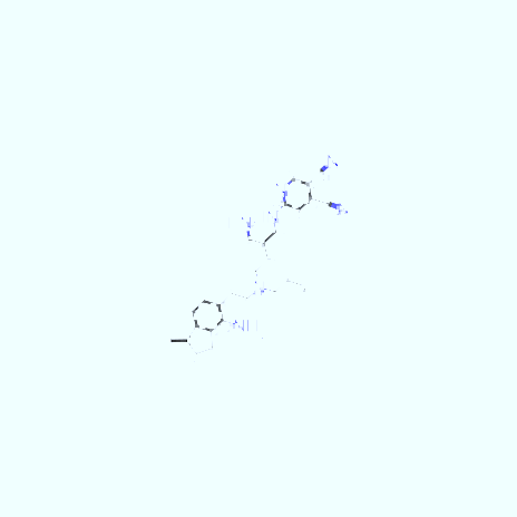 C=C1CCc2c1ccc(CCN(CCC)CC/C(C=N)=C/Nc1cc(C#N)c(C#N)cn1)c2N